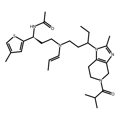 C/C=C/N(CCC(CC)n1c(C)nc2c1CCN(C(=O)C(C)C)C2)CC[C@H](NC(C)=O)c1cc(C)cs1